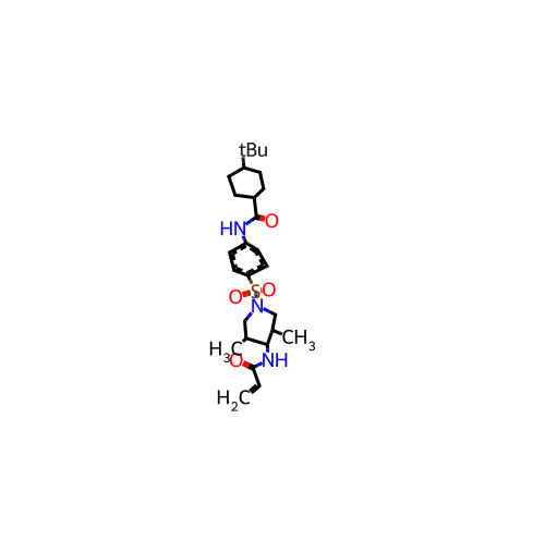 C=CC(=O)NC1C(C)CN(S(=O)(=O)c2ccc(NC(=O)C3CCC(C(C)(C)C)CC3)cc2)CC1C